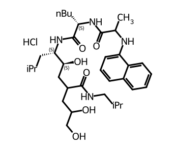 CCCC[C@H](NC(=O)C(C)Nc1cccc2ccccc12)C(=O)N[C@@H](CC(C)C)[C@@H](O)CC(CC(O)CO)C(=O)NCC(C)C.Cl